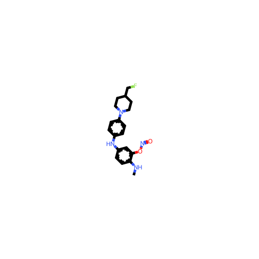 CNc1ccc(Nc2ccc(N3CCC(CF)CC3)cc2)cc1ON=O